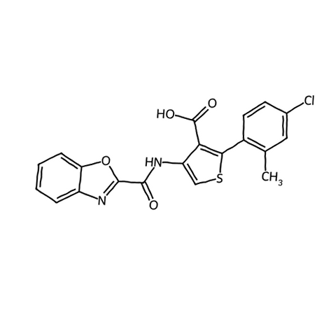 Cc1cc(Cl)ccc1-c1scc(NC(=O)c2nc3ccccc3o2)c1C(=O)O